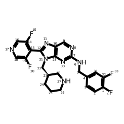 Fc1ccc(CNc2ncc3nc(-c4c(F)cncc4F)n(C[C@@H]4CCCNC4)c3n2)cc1F